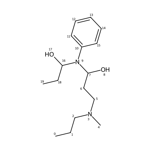 CCCN(C)CCC(O)N(c1ccccc1)C(O)CC